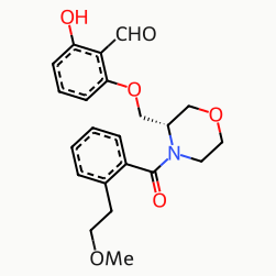 COCCc1ccccc1C(=O)N1CCOC[C@H]1COc1cccc(O)c1C=O